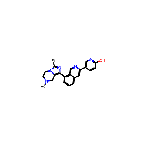 CCc1nc(-c2cccc3cc(-c4ccc(O)nc4)ncc23)c2n1CCN(C(C)=O)C2